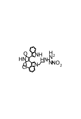 NC(=N[N+](=O)[O-])NCCCn1cc(C2=C(c3c[nH]c4ccccc34)C(=O)NC2=O)c2c(Cl)cccc21